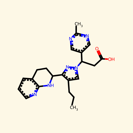 CCCc1cn(C(CC(=O)O)c2cnc(C)nc2)nc1C1CCc2cccnc2N1